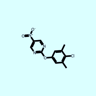 Cc1cc(Oc2ncc([N+](=O)[O-])cn2)cc(C)c1Cl